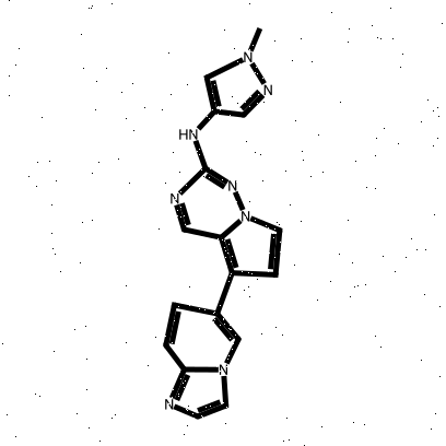 Cn1cc(Nc2ncc3c(-c4ccc5nccn5c4)ccn3n2)cn1